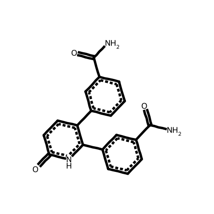 NC(=O)c1cccc(-c2ccc(=O)[nH]c2-c2cccc(C(N)=O)c2)c1